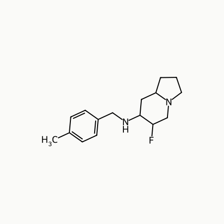 Cc1ccc(CNC2CC3CCCN3CC2F)cc1